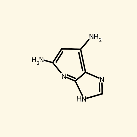 Nc1cc(N)c2nc[nH]c2n1